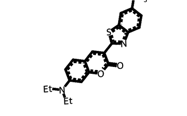 CCN(CC)c1ccc2cc(-c3nc4ccc(C)cc4s3)c(=O)oc2c1